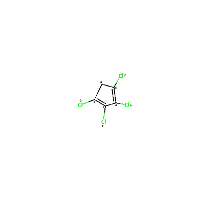 ClC1=C(Cl)C(Cl)=C(Cl)C1